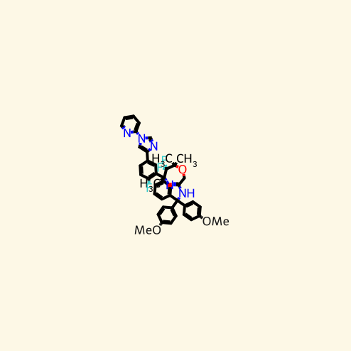 COc1ccc(C(NC2=NC(C)(c3cc(-c4cn(-c5ccccn5)cn4)ccc3F)C(F)(F)C(C)(C)OC2)(c2ccccc2)c2ccc(OC)cc2)cc1